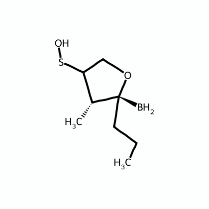 B[C@]1(CCC)OCC(SO)[C@H]1C